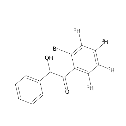 [2H]c1c([2H])c([2H])c(C(=O)C(O)c2ccccc2)c(Br)c1[2H]